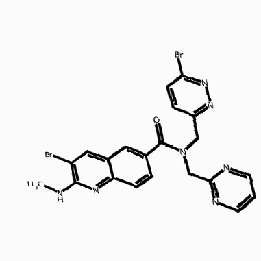 CNc1nc2ccc(C(=O)N(Cc3ccc(Br)nn3)Cc3ncccn3)cc2cc1Br